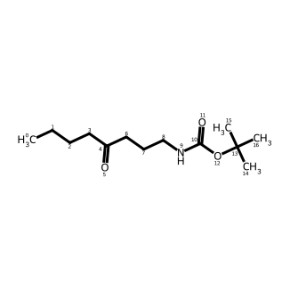 CCCCC(=O)CCCNC(=O)OC(C)(C)C